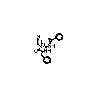 N#CCNC(=O)C(Cc1ccccc1)NC(=O)NC1CC1c1ccccc1